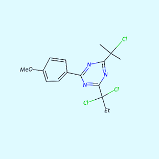 CCC(Cl)(Cl)c1nc(-c2ccc(OC)cc2)nc(C(C)(C)Cl)n1